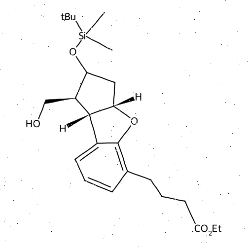 CCOC(=O)CCCc1cccc2c1O[C@H]1CC(O[Si](C)(C)C(C)(C)C)[C@H](CO)[C@@H]21